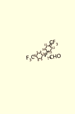 O=CCP(c1ccc(C(F)(F)F)cc1)c1ccc(C(F)(F)F)cc1